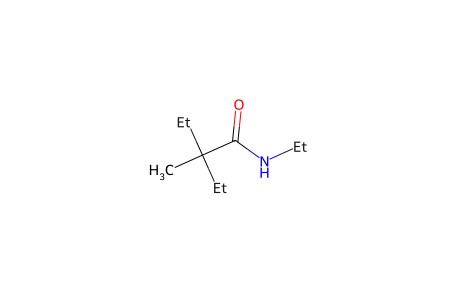 CCNC(=O)C(C)(CC)CC